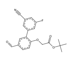 CC(C)(C)OC(=O)COc1ccc(C=O)cc1-c1cc(F)cc(C#N)c1